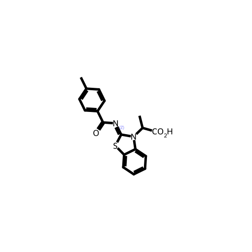 Cc1ccc(C(=O)/N=c2\sc3ccccc3n2C(C)C(=O)O)cc1